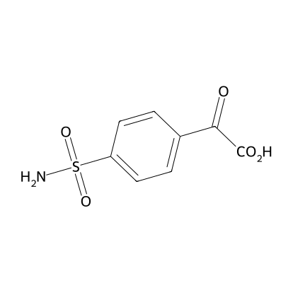 NS(=O)(=O)c1ccc(C(=O)C(=O)O)cc1